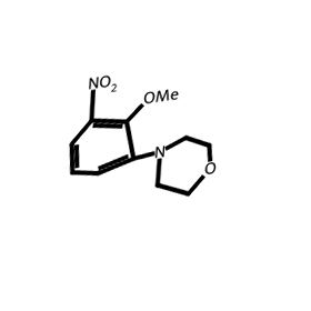 COc1c(N2CCOCC2)cccc1[N+](=O)[O-]